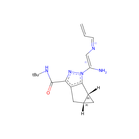 C=C/C=N\C=C(/N)n1nc(C(=O)NC(C)(C)C)c2c1[C@@H]1C[C@@H]1C2